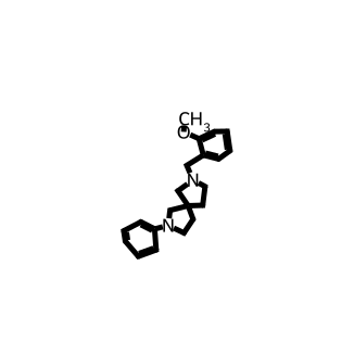 COc1ccccc1CN1CCC2(CCN(c3ccccc3)C2)C1